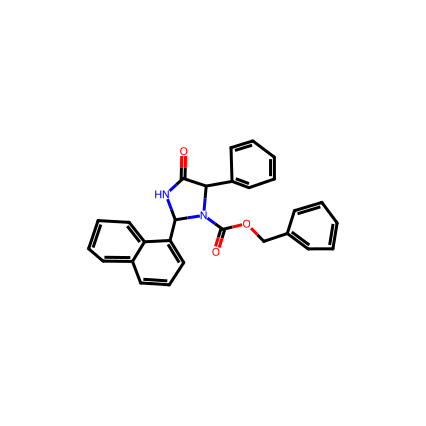 O=C1NC(c2cccc3ccccc23)N(C(=O)OCc2ccccc2)C1c1ccccc1